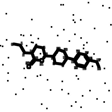 CCCC1CCC(C2CCC(c3ccc(CC)cc3)CC2)OC1=O